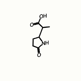 CC(C(=O)O)C1CCC(=O)N1